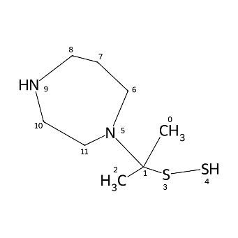 CC(C)(SS)N1CCCNCC1